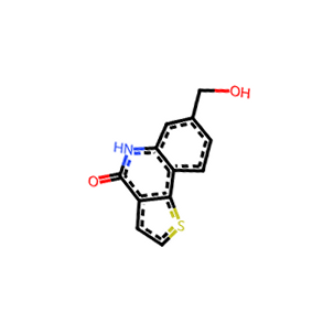 O=c1[nH]c2cc(CO)ccc2c2sccc12